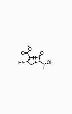 COC(=O)C1=C(S)CC2C(C(C)O)C(=O)N12